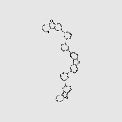 c1cc(-c2cccc(-c3ccc4oc5cccnc5c4c3)c2)cc(-c2ccc3sc4ccc(-c5cccc(-c6ccc7sc8ccccc8c7c6)c5)cc4c3c2)c1